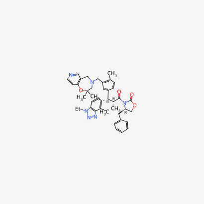 CCn1nnc2c(C)c([C@H](c3ccc(C)c(CN4Cc5cnccc5OC(C)(C)C4)c3)[C@@H](C)C(=O)N3C(=O)OC[C@H]3Cc3ccccc3)ccc21